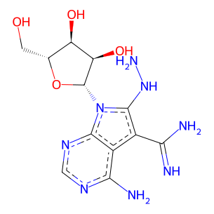 N=C(N)c1c(NN)n([C@@H]2O[C@H](CO)[C@@H](O)[C@H]2O)c2ncnc(N)c12